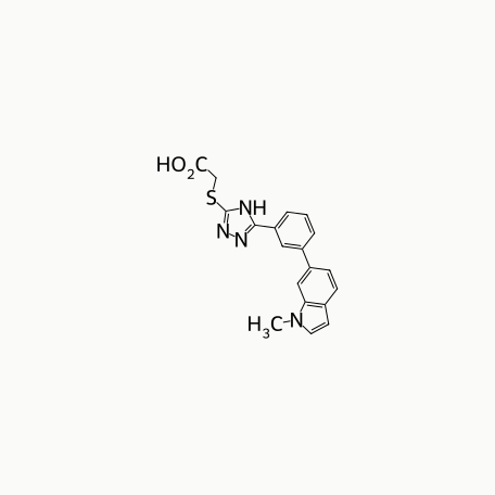 Cn1ccc2ccc(-c3cccc(-c4nnc(SCC(=O)O)[nH]4)c3)cc21